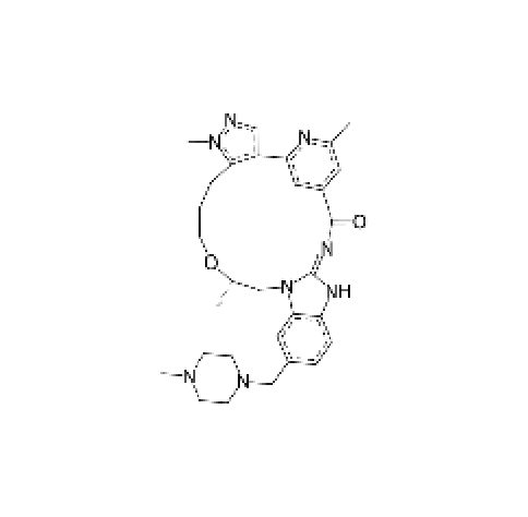 Cc1cc2cc(n1)-c1cnn(C)c1CCCO[C@@H](C)CN1C(=NC2=O)Nc2ccc(CN3CCN(C)CC3)cc21